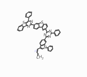 C=C/C=C\c1cn(-c2ccccc2)c2cc(-c3nc(-c4ccccc4)nc(-c4ccc5sc6cc(-c7nc(-c8ccccc8)c8sc9ccccc9c8n7)ccc6c5c4)n3)ccc12